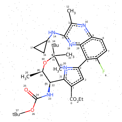 CCOC(=O)c1cc(-c2c(F)ccc3nc(C)c(NC4CC4)nc23)[nH]c1[C@@H](NC(=O)OC(C)(C)C)[C@@H](C)O[Si](C)(C)C(C)(C)C